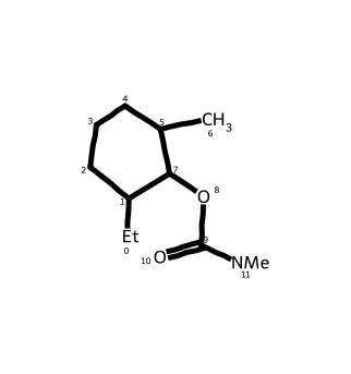 CCC1CCCC(C)C1OC(=O)NC